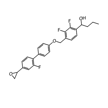 CCCC(O)c1ccc(COc2ccc(-c3ccc(C4CO4)cc3F)cc2)c(F)c1F